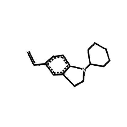 [CH]=Cc1ccc2c(c1)CCN2C1CCCCC1